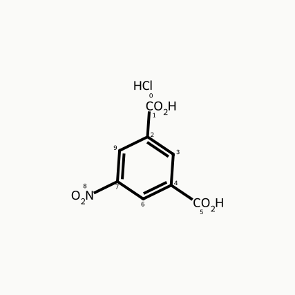 Cl.O=C(O)c1cc(C(=O)O)cc([N+](=O)[O-])c1